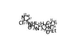 CCC(=O)N(c1ccc(-c2ccc(C(=O)NCc3cccnc3Cl)cn2)cc1)c1ccccc1C